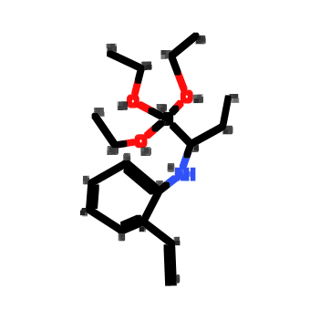 C=Cc1ccccc1NC(CC)[Si](OCC)(OCC)OCC